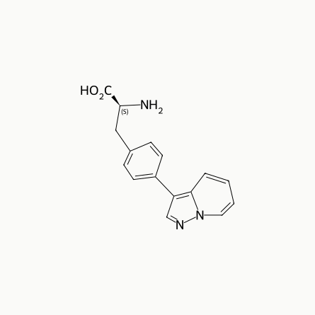 N[C@@H](Cc1ccc(-c2cnn3ccccc23)cc1)C(=O)O